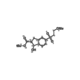 COCCS(=O)(=O)c1ccc2c(c1)CN(C(=O)OC(C)(C)C)C2O